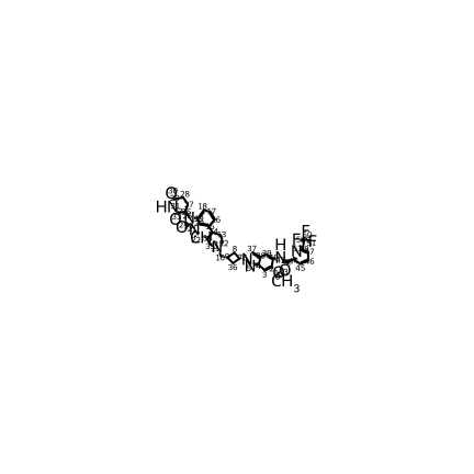 COc1cc2nn([C@H]3C[C@H](CN4CCC(c5cccc6c5n(C)c(=O)n6C5CCC(=O)NC5=O)CC4)C3)cc2cc1NC(=O)c1cccc(C(F)(F)F)n1